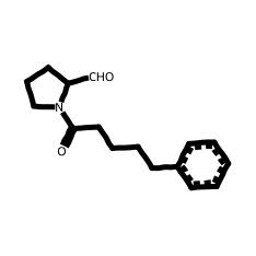 O=CC1CCCN1C(=O)CCCCc1ccccc1